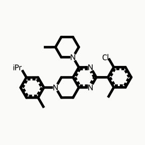 Cc1ccc(C(C)C)cc1N1CCc2nc(-c3c(C)cccc3Cl)nc(N3CCCC(C)C3)c2C1